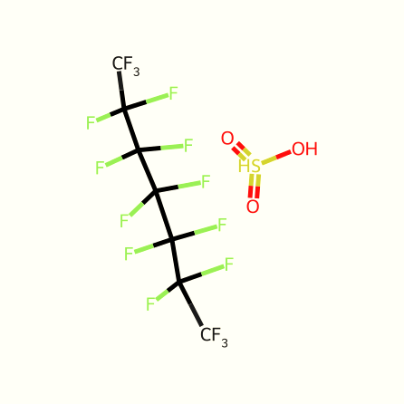 FC(F)(F)C(F)(F)C(F)(F)C(F)(F)C(F)(F)C(F)(F)C(F)(F)F.O=[SH](=O)O